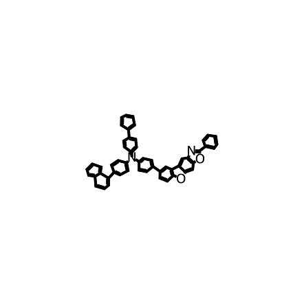 c1ccc(-c2ccc(N(c3ccc(-c4ccc5oc6cc7oc(-c8ccccc8)nc7cc6c5c4)cc3)c3ccc(-c4cccc5ccccc45)cc3)cc2)cc1